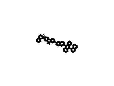 CC1(C)c2cc(-c3ccc4cc(-c5c6ccccc6c(-c6cccc7ccccc67)c6ccccc56)ccc4c3)ccc2-c2cc3sc4ccc5ccccc5c4c3cc21